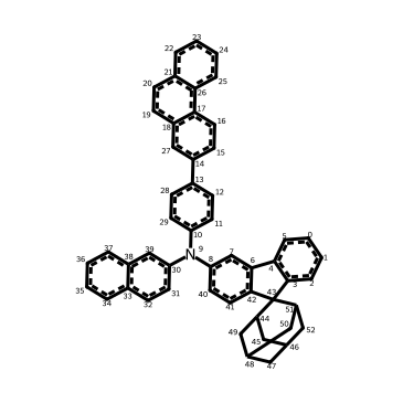 c1ccc2c(c1)-c1cc(N(c3ccc(-c4ccc5c(ccc6ccccc65)c4)cc3)c3ccc4ccccc4c3)ccc1C21C2CC3CC(C2)CC1C3